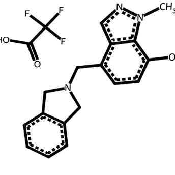 Cn1ncc2c(CN3Cc4ccccc4C3)ccc(O)c21.O=C(O)C(F)(F)F